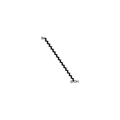 O=C(O)CCCCCCCCCCCCCCCCCCCCCCCCCCCCCCCBr